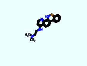 CN(C)CCNc1ccnc2c3c(ccc12)-c1ccccc1SN3